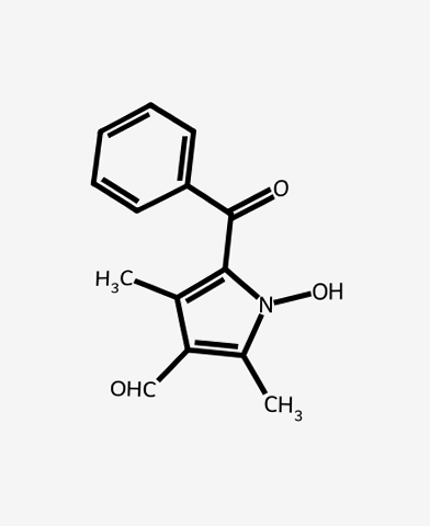 Cc1c(C=O)c(C)n(O)c1C(=O)c1ccccc1